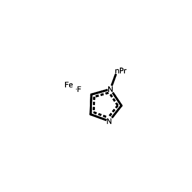 CCCn1ccnc1.[F].[Fe]